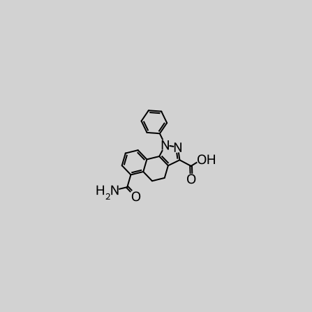 NC(=O)c1cccc2c1CCc1c(C(=O)O)nn(-c3ccccc3)c1-2